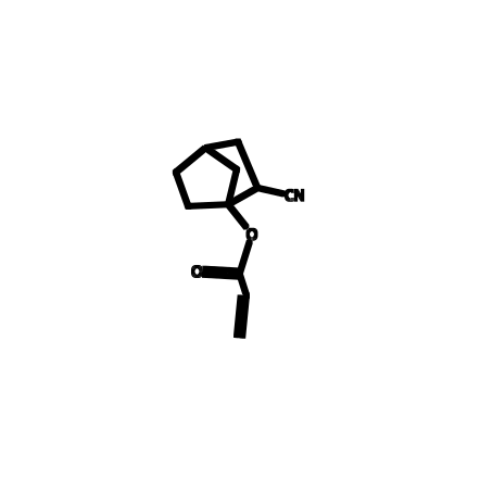 C=CC(=O)OC12CCC(CC1C#N)C2